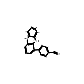 N#Cc1ccc(-c2cccc3c2Nc2ccccc2S3)cc1